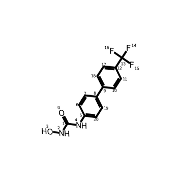 O=C(NO)Nc1ccc(-c2ccc(C(F)(F)F)cc2)cc1